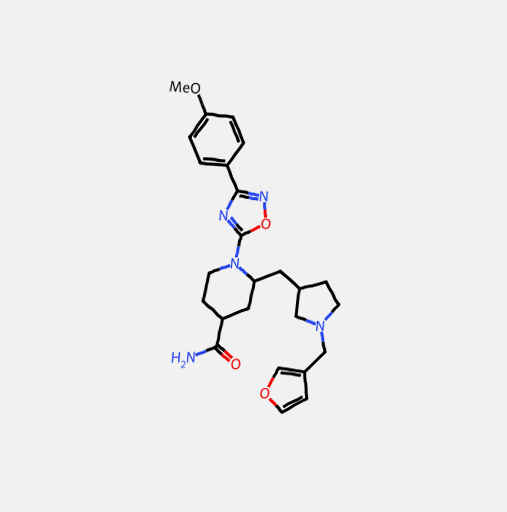 COc1ccc(-c2noc(N3CCC(C(N)=O)CC3CC3CCN(Cc4ccoc4)C3)n2)cc1